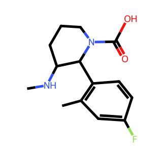 CNC1CCCN(C(=O)O)C1c1ccc(F)cc1C